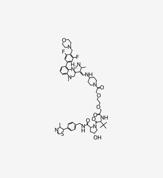 CC(N)/C(=C\NC1CCN(C(=O)COCCOCC(=O)NC(C(=O)N2C[C@H](O)CC2C(=O)NCc2ccc(C3SC=NC3C)cc2)C(C)(C)C)CC1)C1=Nc2c(-c3cc(F)c(CN4CCOCC4)c(F)c3)cccc2N(C)C1